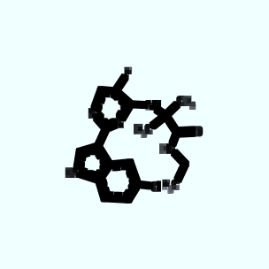 CC(C)(Nc1nc(-c2c[nH]c3ccc(Cl)cc23)ncc1F)C(=O)NCC(F)(F)F